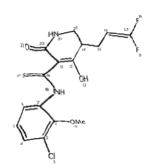 COc1c(Cl)cccc1NC(=S)C1=C(O)C(CC=C(F)F)CNC1=O